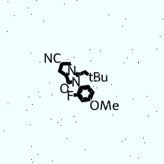 COc1ccc(N2C(=O)C3CC(C#N)CN3C2CC(C)(C)C)c(F)c1